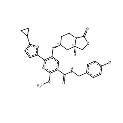 COc1nc(-c2cnc(C3CC3)o2)c(O[C@H]2CCN3C(=O)OC[C@@H]3C2)cc1C(=O)NCc1ccc(Cl)cc1